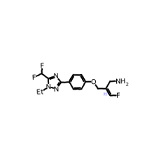 CCn1nc(-c2ccc(OC/C(=C/F)CN)cc2)nc1C(F)F